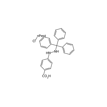 CCCCCCl.O=C(O)c1ccc(NNC(c2ccccc2)(c2ccccc2)c2ccccc2)cc1